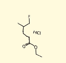 CCOC(=O)CCC(C)CF.Cl